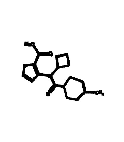 COC(=O)c1sccc1N(C(=O)C1CCC(C)CC1)C1CCC1